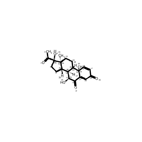 CC(=O)[C@@]1(O)CC[C@H]2[C@@H]3[C@H](O)C(=O)C4=CC(=O)C=C[C@]4(C)[C@H]3CC[C@@]21C